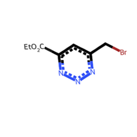 CCOC(=O)c1cc(CBr)nnn1